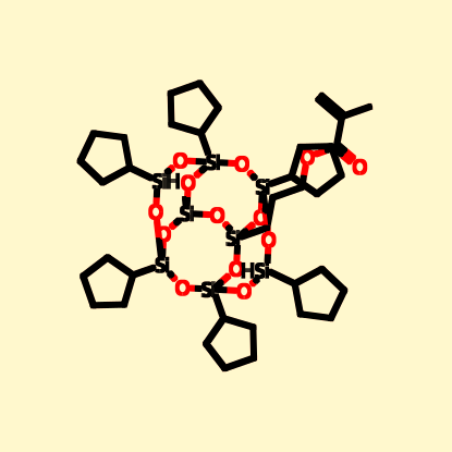 C=C(C)C(=O)OCCC[Si]12O[Si]3(C)O[Si]4(C5CCCC5)O[SiH](C5CCCC5)O[Si](C5CCCC5)(O3)O[Si](C3CCCC3)(O[SiH](C3CCCC3)O[Si](C3CCCC3)(O1)O4)O2